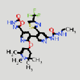 CCNC(=O)Nc1cc(-c2nc(C(F)(F)F)cs2)c(-c2cc(-c3n[nH]c(=O)o3)cnc2OC2C=C(C)N(C)C(C)(C)C2)cn1